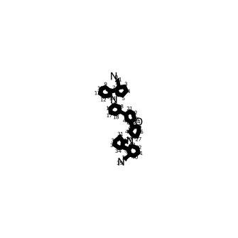 N#Cc1cccc2c1c1ccccc1n2-c1cccc(-c2ccc3oc4ccc(-n5c6ccccc6c6c(C#N)cccc65)cc4c3c2)c1